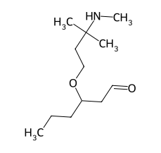 CCCC(CC=O)OCCC(C)(C)NC